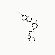 CNc1cc2ncc(-c3cc(NC(=O)c4n[nH]c5c4C[C@H](C)O[C@@H]5C)ccc3C)cc2cn1